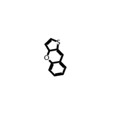 C1=CC2Oc3ccccc3C=C2S1